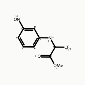 COC(=O)C(Nc1cccc(N=O)c1)C(F)(F)F